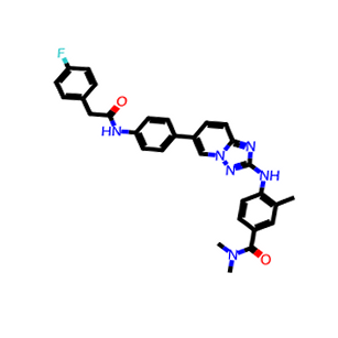 Cc1cc(C(=O)N(C)C)ccc1Nc1nc2ccc(-c3ccc(NC(=O)Cc4ccc(F)cc4)cc3)cn2n1